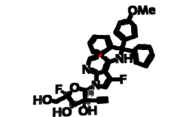 C#C[C@]1(O)[C@H](n2cc(F)c3c(NC(c4ccccc4)(c4ccccc4)c4ccc(OC)cc4)ncnc32)O[C@](F)(CO)[C@H]1O